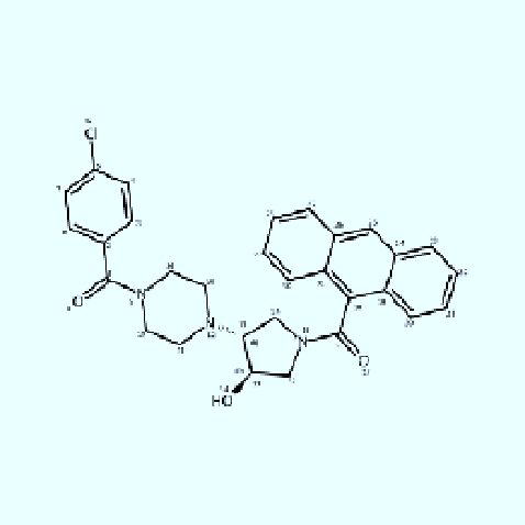 O=C(c1ccc(Cl)cc1)N1CCN([C@@H]2CN(C(=O)c3c4ccccc4cc4ccccc34)C[C@H]2O)CC1